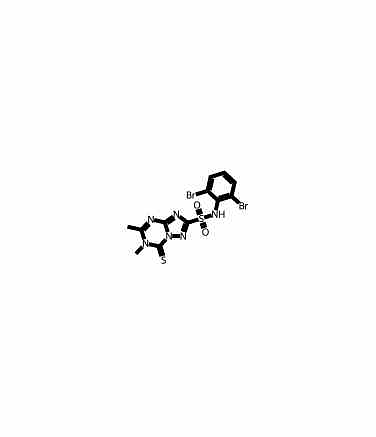 Cc1nc2nc(S(=O)(=O)Nc3c(Br)cccc3Br)nn2c(=S)n1C